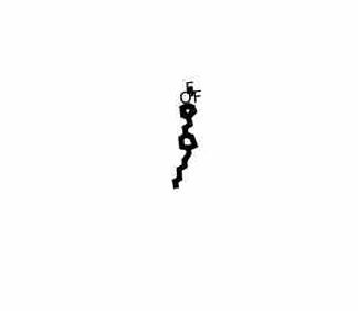 CCCCCCCC1CCC(CCc2ccc(OC(F)F)cc2)CC1